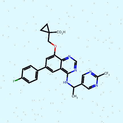 CC(Nc1ncnc2c(OCC3(C(=O)O)CC3)cc(-c3ccc(F)cc3)cc12)c1cnc(C(F)(F)F)nc1